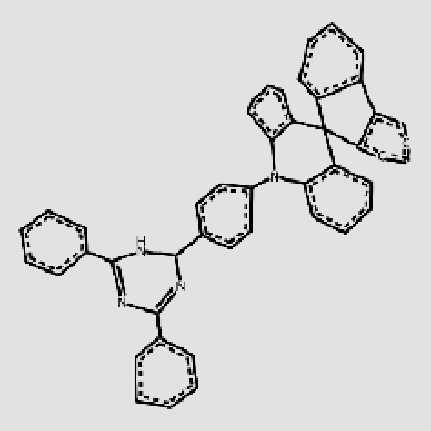 c1ccc(C2=NC(c3ccc(N4c5ccccc5C5(c6ccccc6-c6ccccc65)c5ccccc54)cc3)NC(c3ccccc3)=N2)cc1